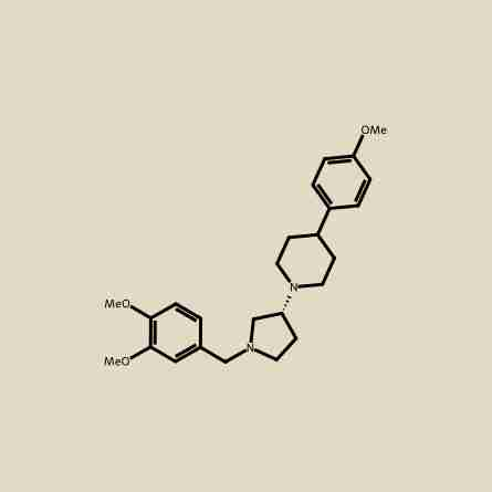 COc1ccc(C2CCN([C@@H]3CCN(Cc4ccc(OC)c(OC)c4)C3)CC2)cc1